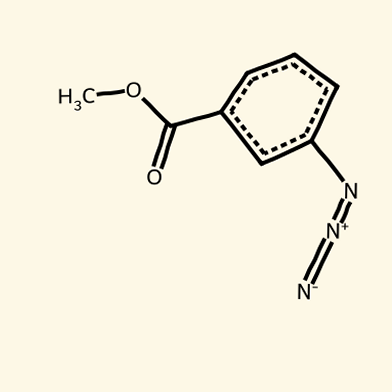 COC(=O)c1cccc(N=[N+]=[N-])c1